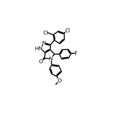 COc1ccc(N2C(=O)c3[nH]nc(-c4ccc(Cl)cc4Cl)c3C2c2ccc(F)cc2)cc1